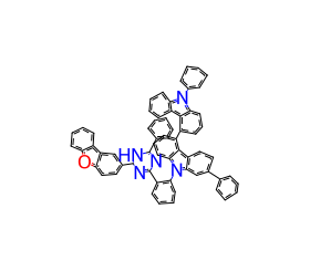 c1ccc(C2=NC(c3ccccc3-n3c4cc(-c5ccccc5)ccc4c4c(-c5cccc6c5c5ccccc5n6-c5ccccc5)cccc43)=NC(c3ccc4oc5ccccc5c4c3)N2)cc1